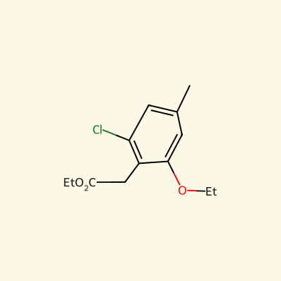 CCOC(=O)Cc1c(Cl)cc(C)cc1OCC